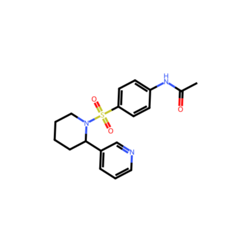 CC(=O)Nc1ccc(S(=O)(=O)N2CCCCC2c2cccnc2)cc1